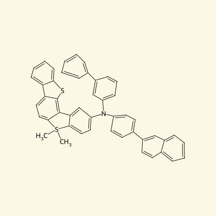 CS1(C)c2ccc(N(c3ccc(-c4ccc5ccccc5c4)cc3)c3cccc(-c4ccccc4)c3)cc2-c2c1ccc1c2sc2ccccc21